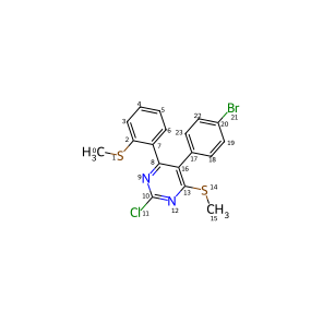 CSc1ccccc1-c1nc(Cl)nc(SC)c1-c1ccc(Br)cc1